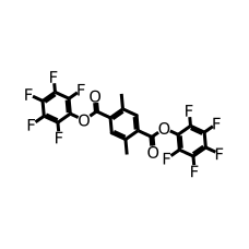 Cc1cc(C(=O)Oc2c(F)c(F)c(F)c(F)c2F)c(C)cc1C(=O)Oc1c(F)c(F)c(F)c(F)c1F